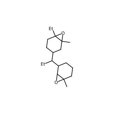 CCC(C1CCC2(CC)OC2(C)C1)C1CCCC2(C)OC12